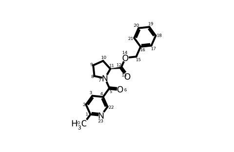 Cc1ccc(C(=O)N2CCC[C@H]2C(=O)OCc2ccccc2)cn1